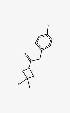 Cc1ccc(CC(=O)N2CC(C)(F)C2)cc1